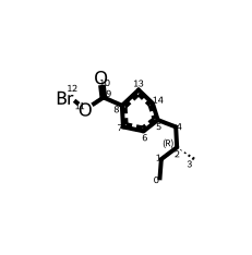 CC[C@@H](C)Cc1ccc(C(=O)OBr)cc1